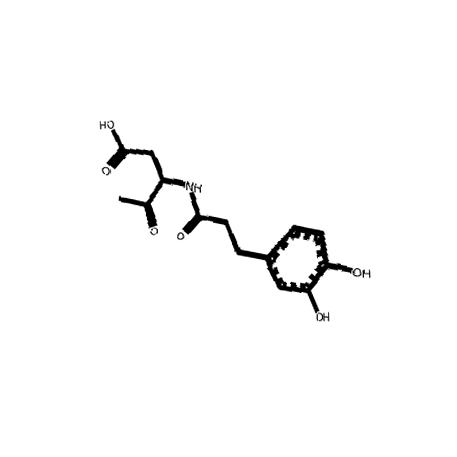 CC(=O)C(CC(=O)O)NC(=O)CCc1ccc(O)c(O)c1